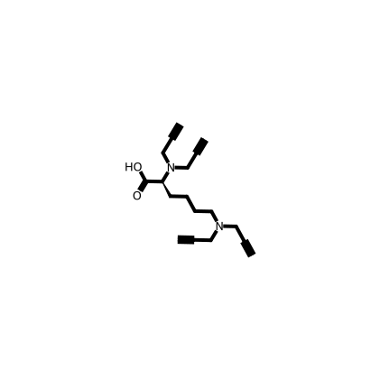 C#CCN(CC#C)CCCC[C@@H](C(=O)O)N(CC#C)CC#C